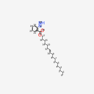 CCCCCCCCCCCCCCCCCCOC(=O)c1ccccc1N=N